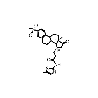 Cc1cnc(NC(=O)CC[C@@H]2CC(=O)[C@@]3(C)CCC4c5ccc(S(C)(=O)=O)cc5CCC4C23)s1